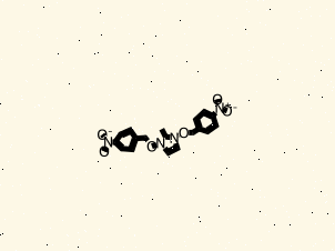 CC1N(OCc2ccc([N+](=O)[O-])cc2)C=CN1OCc1ccc([N+](=O)[O-])cc1